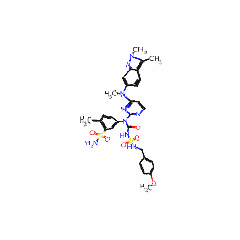 COc1ccc(CNS(=O)(=O)NC(=O)N(c2ccc(C)c(S(N)(=O)=O)c2)c2nccc(N(C)c3ccc4c(C)n(C)nc4c3)n2)cc1